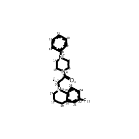 C[C@H](C(=O)N1CCN(c2ccccc2)CC1)N1CCCc2cc(F)ccc21